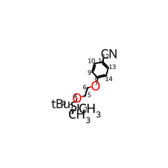 CC(C)(C)[Si](C)(C)OCCOc1ccc(C#N)cc1